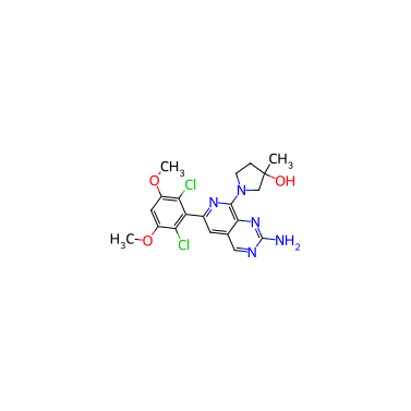 COc1cc(OC)c(Cl)c(-c2cc3cnc(N)nc3c(N3CCC(C)(O)C3)n2)c1Cl